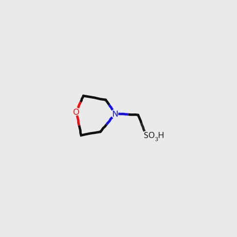 O=S(=O)(O)CN1CCOCC1